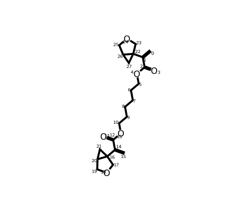 C=C(C(=O)OCCCCCCOC(=O)C(=C)C12COCC1C2)C12COCC1C2